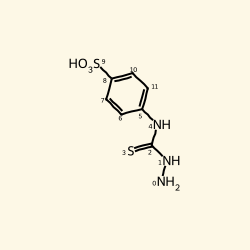 NNC(=S)Nc1ccc(S(=O)(=O)O)cc1